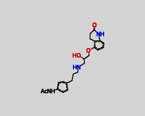 CC(=O)Nc1ccc(CCCNCC(O)COc2cccc3c2CCC(=O)N3)cc1